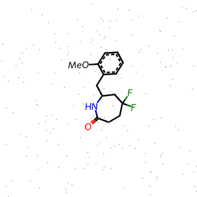 COc1ccccc1CC1CC(F)(F)CCC(=O)N1